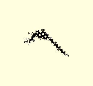 CC(C(=O)O)C(=O)CC[C@@H](C)[C@H]1CCC2C3C(CC[C@@]21C)[C@@]1(C)CC[C@H](NCCCNCCCCNCCCN)C[C@@H]1C[C@H]3O